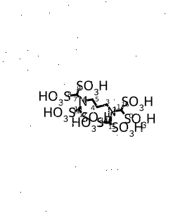 O=S(=O)(O)C(N(CCCN(C(S(=O)(=O)O)S(=O)(=O)O)C(S(=O)(=O)O)S(=O)(=O)O)C(S(=O)(=O)O)S(=O)(=O)O)S(=O)(=O)O